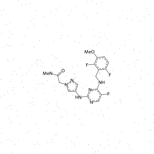 CNC(=O)Cn1cc(Nc2ncc(F)c(NCc3c(F)ccc(OC)c3F)n2)cn1